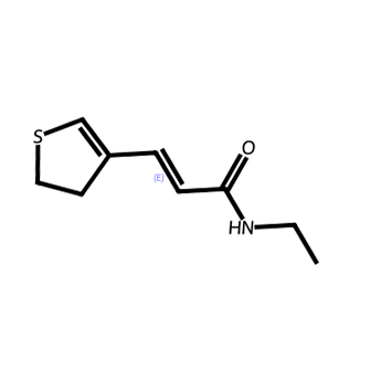 CCNC(=O)/C=C/C1=CSCC1